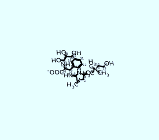 CN1CC(=O)NC1=N.C[N+](C)(C)CCO.N[C@@H](Cc1ccccc1)C(=O)[O-].OCC(O)CO